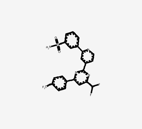 NS(=O)(=O)c1cccc(-c2cc(-c3nc(-c4ccc(C(F)(F)F)cc4)cc(C(F)F)n3)ccn2)c1